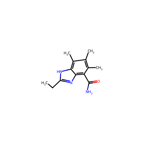 CCc1nc2c(C(N)=O)c(C)c(C)c(C)c2[nH]1